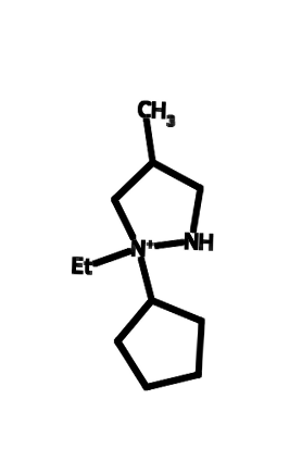 CC[N+]1(C2CCCC2)CC(C)CN1